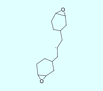 [CH](CC1CCC2OC2C1)CC1CCC2OC2C1